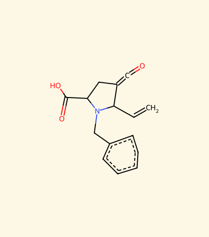 C=CC1C(=C=O)CC(C(=O)O)N1Cc1ccccc1